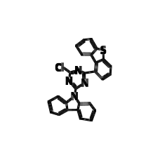 Clc1nc(-c2cccc3sc4ccccc4c23)nc(-n2c3ccccc3c3ccccc32)n1